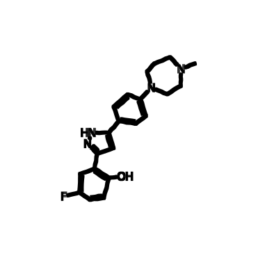 CN1CCCN(c2ccc(-c3cc(-c4cc(F)ccc4O)n[nH]3)cc2)CC1